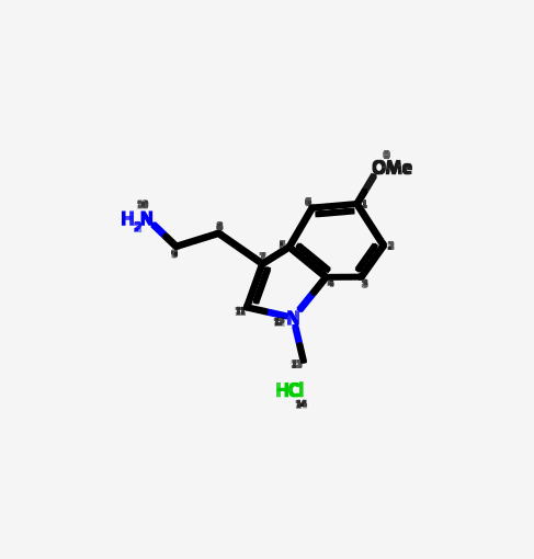 COc1ccc2c(c1)c(CCN)cn2C.Cl